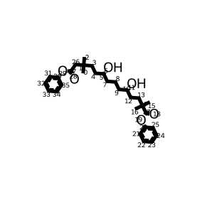 CC(C)(CCC(O)CCCC(O)CCC(C)(C)C(=O)Oc1ccccc1)CC(=O)Oc1ccccc1